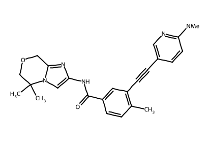 CNc1ccc(C#Cc2cc(C(=O)Nc3cn4c(n3)COCC4(C)C)ccc2C)cn1